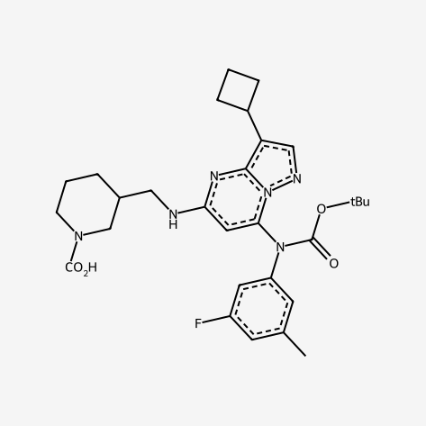 Cc1cc(F)cc(N(C(=O)OC(C)(C)C)c2cc(NCC3CCCN(C(=O)O)C3)nc3c(C4CCC4)cnn23)c1